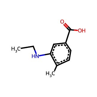 CCNc1cc(C(=O)O)ccc1C